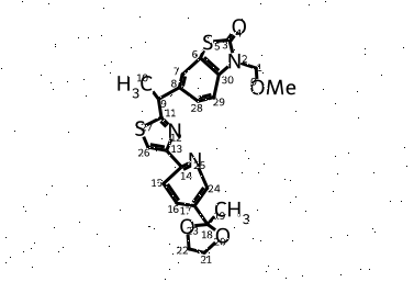 COCn1c(=O)sc2cc(C(C)c3nc(-c4ccc(C5(C)OCCO5)cn4)cs3)ccc21